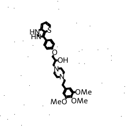 COc1cc(CCN2CCN(CC(O)COc3ccc(C4=C5SC=CC=C5NN4)cc3)CC2)cc(OC)c1OC